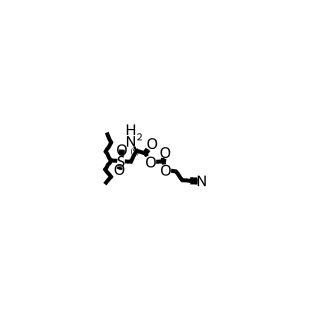 CCCC(CCC)S(=O)(=O)C[C@@H](N)C(=O)OC(=O)OCCC#N